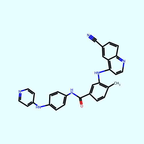 Cc1ccc(C(=O)Nc2ccc(Nc3ccncc3)cc2)cc1Nc1ccnc2ccc(C#N)cc12